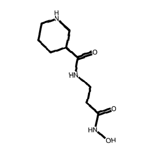 O=C(CCNC(=O)C1CCCNC1)NO